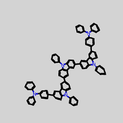 c1ccc(N(c2ccccc2)c2ccc(-c3ccc4c(c3)c3cc(-c5ccc6c(c5)c5cc(-c7ccc8c(c7)c7cc(-c9ccc(N(c%10ccccc%10)c%10ccccc%10)cc9)ccc7n8-c7ccccc7)ccc5n6-c5ccccc5)ccc3n4-c3ccccc3)cc2)cc1